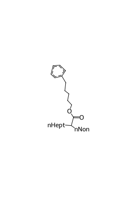 CCCCCCCCCC(CCCCCCC)C(=O)OCCCCCc1ccccc1